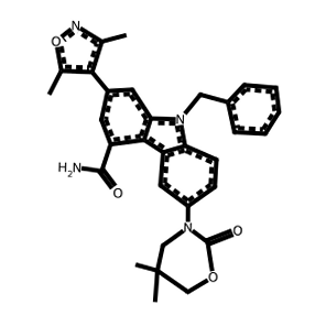 Cc1noc(C)c1-c1cc(C(N)=O)c2c3cc(N4CC(C)(C)COC4=O)ccc3n(Cc3ccccc3)c2c1